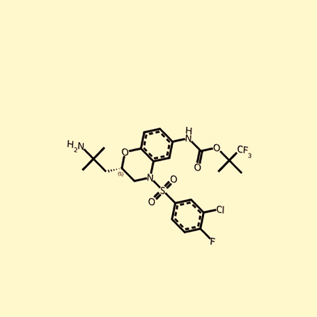 CC(C)(N)C[C@H]1CN(S(=O)(=O)c2ccc(F)c(Cl)c2)c2cc(NC(=O)OC(C)(C)C(F)(F)F)ccc2O1